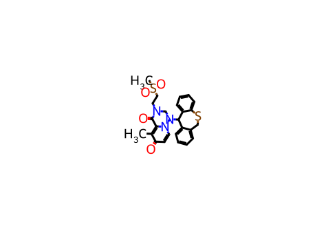 Cc1c2n(ccc1=O)N(C1c3ccccc3CSc3ccccc31)CN(CCS(C)(=O)=O)C2=O